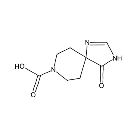 O=C(O)N1CCC2(CC1)N=CNC2=O